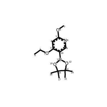 CCOc1cc(OC)ncc1B1OC(C)(C)C(C)(C)O1